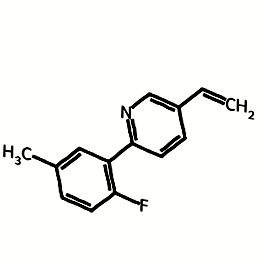 C=Cc1ccc(-c2cc(C)ccc2F)nc1